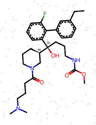 CCc1cccc(-c2c(F)cccc2[C@](O)(CCCNC(=O)OC)[C@@H]2CCCN(C(=O)CCCN(C)C)C2)c1